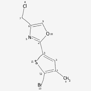 Cc1cc(-c2nc(CCl)co2)sc1Br